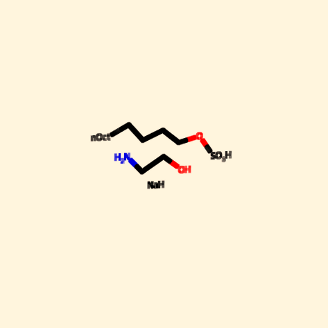 CCCCCCCCCCCCOS(=O)(=O)O.NCCO.[NaH]